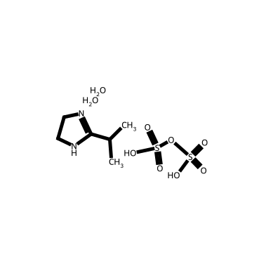 CC(C)C1=NCCN1.O.O.O=S(=O)(O)OS(=O)(=O)O